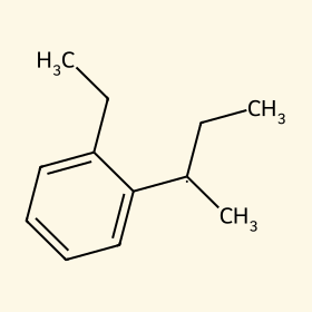 CC[C](C)c1ccccc1CC